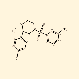 CC1(c2ccc(Cl)cc2)CC(S(=O)(=O)c2cccc(C(F)(F)F)c2)CCO1